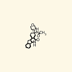 CC(=O)NC1(N2CCOCC2)C=c2c(=O)[nH]c3c(c2=CC1)Cc1ccccc1-3